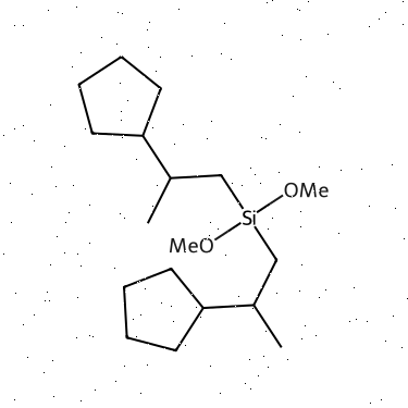 CO[Si](CC(C)C1CCCC1)(CC(C)C1CCCC1)OC